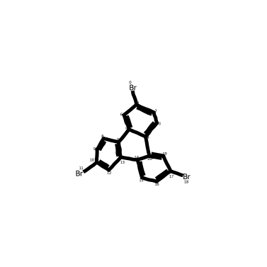 Brc1ccc2c(c1)c1ccc(Br)cc1c1ccc(Br)cc21